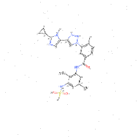 COc1c(NC(=O)c2ccc(C)c(-n3cc(-c4cnc(C5CC5)n4C)nn3)c2)cc(C(C)(C)C)cc1NS(C)(=O)=O